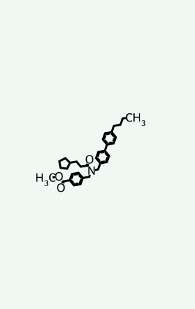 CCCCc1ccc(-c2ccc(CN(Cc3ccc(C(=O)OC)cc3)C(=O)CCC3CCCC3)cc2)cc1